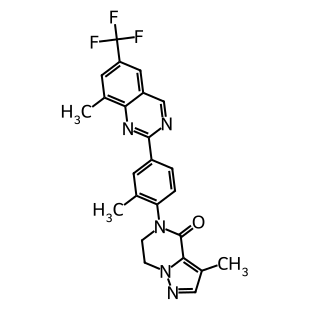 Cc1cc(-c2ncc3cc(C(F)(F)F)cc(C)c3n2)ccc1N1CCn2ncc(C)c2C1=O